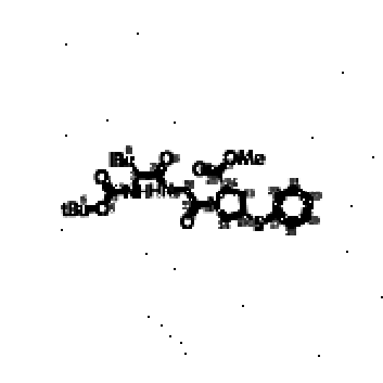 CC[C@H](C)[C@H](NC(=O)OC(C)(C)C)C(=O)NCC(=O)N1C[C@@H](Sc2ccccc2)C[C@H]1C(=O)OC